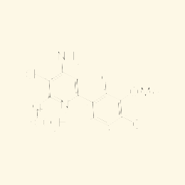 COc1c(Cl)ccc(-c2cc(N)c(Cl)c(OC(=O)O)n2)c1Cl